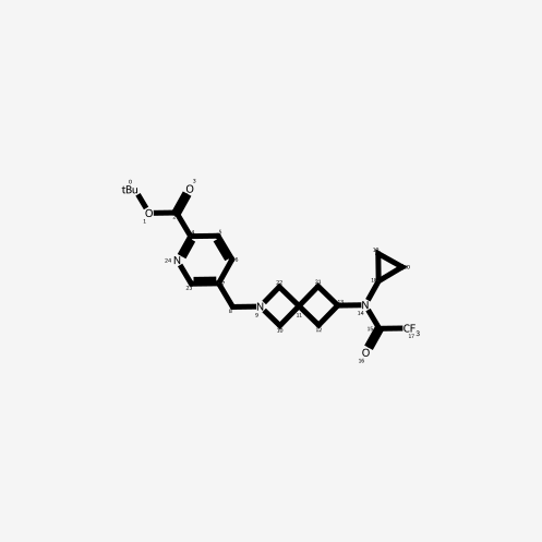 CC(C)(C)OC(=O)c1ccc(CN2CC3(CC(N(C(=O)C(F)(F)F)C4CC4)C3)C2)cn1